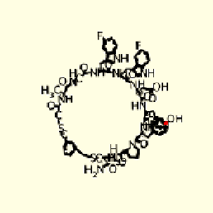 C[C@@H]1NC(=O)CCSCc2cccc(c2)CSC[C@@H](C(N)=O)NC(=O)[C@]2(C)CCCN2C(=O)[C@H](Cc2ccc(O)cc2)NC(=O)[C@H](Cc2cnc[nH]2)NC(=O)[C@H](CC(=O)O)NC(=O)[C@H](Cc2c[nH]c3ccc(F)cc23)NC(=O)[C@H](Cc2c[nH]c3ccc(F)cc23)NC(=O)CNC1=O